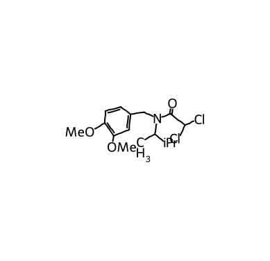 COc1ccc(CN(C(=O)C(Cl)Cl)C(C)C(C)C)cc1OC